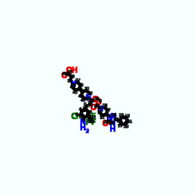 Nc1c(Cl)cc(C[C@@H](OC(=O)N2CCC(n3nc(-c4ccccc4)[nH]c3=O)CC2)C(=O)N2CCC(C3CCN(CCC(=O)O)CC3)CC2)cc1C(F)(F)F